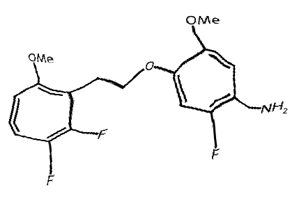 COc1cc(N)c(F)cc1OCCc1c(OC)ccc(F)c1F